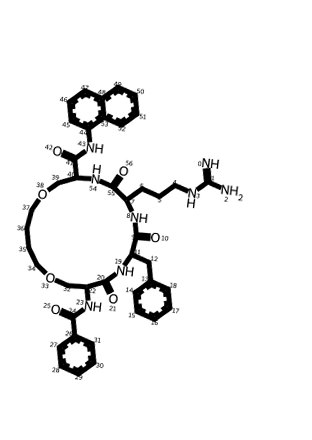 N=C(N)NCCCC1NC(=O)C(Cc2ccccc2)NC(=O)C(NC(=O)c2ccccc2)COCCCCOCC(C(=O)Nc2cccc3ccccc23)NC1=O